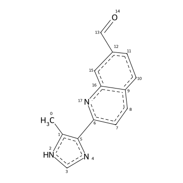 Cc1[nH]cnc1-c1ccc2ccc(C=O)cc2n1